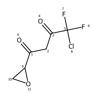 O=C(CC(=O)C(F)(F)Cl)C1CO1